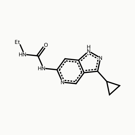 CCNC(=O)Nc1cc2[nH]nc(C3CC3)c2cn1